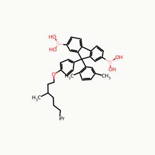 Cc1ccc(C)c(C2(c3ccc(OCCC(C)CCCC(C)C)cc3)c3cc(B(O)O)ccc3-c3ccc(B(O)O)cc32)c1